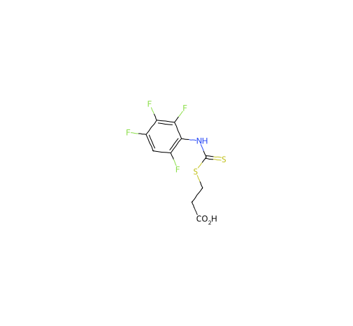 O=C(O)CCSC(=S)Nc1c(F)cc(F)c(F)c1F